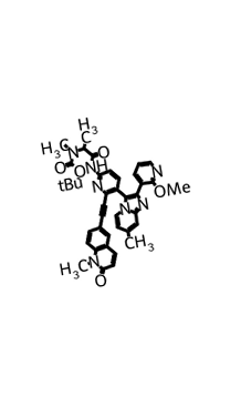 COc1ncccc1-c1nc2cc(C)ccn2c1-c1ccc(NC(=O)C(C)N(C)C(=O)OC(C)(C)C)nc1C#Cc1ccc2c(ccc(=O)n2C)c1